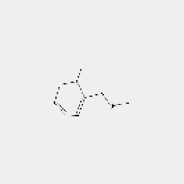 COCC1=CC=CCC1C